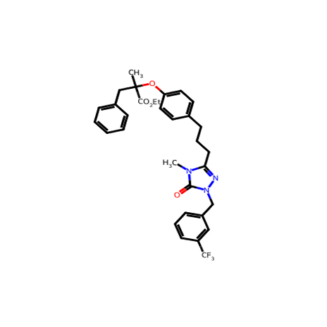 CCOC(=O)C(C)(Cc1ccccc1)Oc1ccc(CCCc2nn(Cc3cccc(C(F)(F)F)c3)c(=O)n2C)cc1